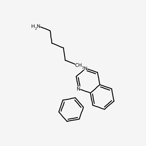 CCCCCN.c1ccc2ncncc2c1.c1ccccc1